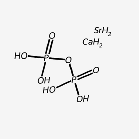 O=P(O)(O)OP(=O)(O)O.[CaH2].[SrH2]